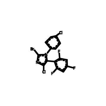 Fc1cc(F)c(-c2c(Cl)nc(Br)n2-c2ccc(Cl)cc2)c(F)c1